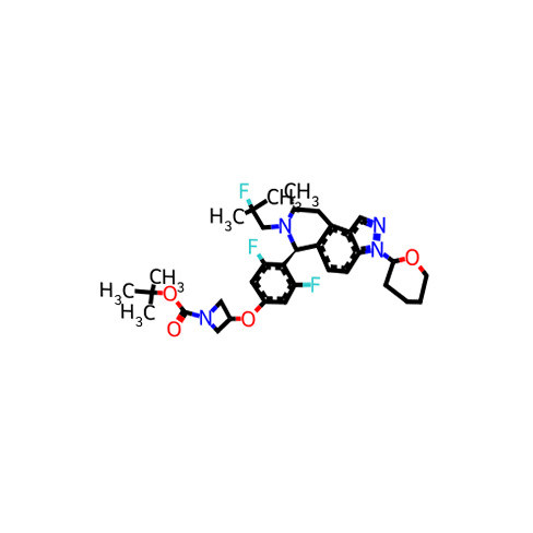 C[C@@H]1Cc2c(ccc3c2cnn3C2CCCCO2)[C@@H](c2c(F)cc(OC3CN(C(=O)OC(C)(C)C)C3)cc2F)N1CC(C)(C)F